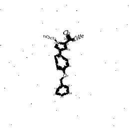 CCCCCCCCn1cc(-c2ccc(OCc3ccccc3)cc2)cc1C(=O)OC